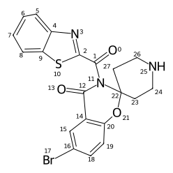 O=C(c1nc2ccccc2s1)N1C(=O)c2cc(Br)ccc2OC12CCNCC2